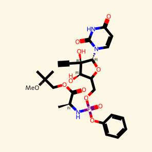 C#C[C@@]1(O)[C@H](O)C(COP(=O)(N[C@@H](C)C(=O)OCC(C)(C)OC)Oc2ccccc2)O[C@H]1n1ccc(=O)[nH]c1=O